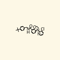 CC(C)(C)c1ccc(CNC(=O)c2cccc3c2OCCN3c2ncccc2Cl)cc1